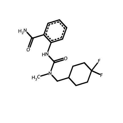 CN(CC1CCC(F)(F)CC1)C(=O)Nc1ccccc1C(N)=O